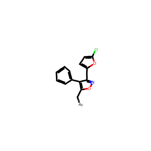 CC(=O)Cc1onc(-c2ccc(Cl)o2)c1-c1ccccc1